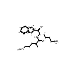 COCCCC(C)C(=O)N[C@@H](CCCCN)C(=O)c1nc2ccccc2s1